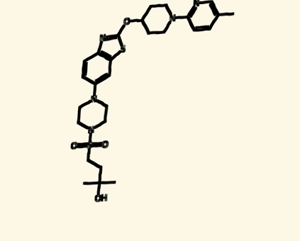 Cc1ccc(N2CCC(Oc3nc4ccc(N5CCN(S(=O)(=O)CCC(C)(C)O)CC5)cc4s3)CC2)nc1